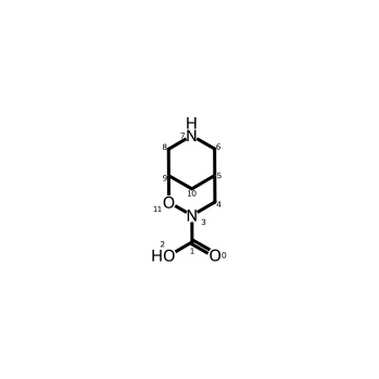 O=C(O)N1CC2CNCC(C2)O1